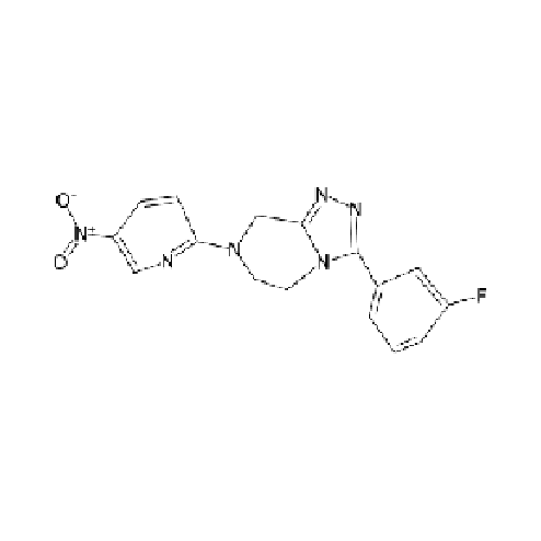 O=[N+]([O-])c1ccc(N2CCn3c(nnc3-c3cccc(F)c3)C2)nc1